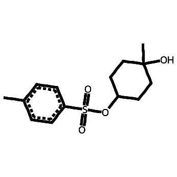 Cc1ccc(S(=O)(=O)OC2CCC(C)(O)CC2)cc1